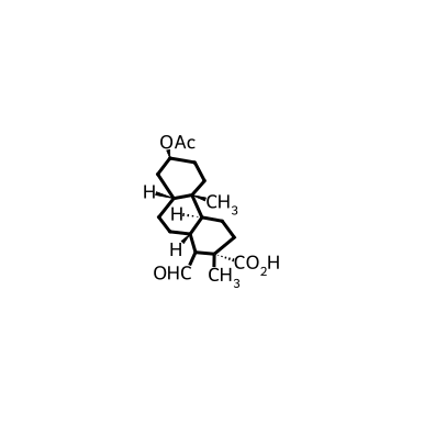 CC(=O)O[C@H]1CC[C@@]2(C)[C@H](CC[C@H]3C(C=O)[C@@](C)(C(=O)O)CC[C@@H]32)C1